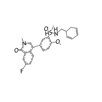 COc1ccc(-c2cn(C)c(=O)c3cc(F)ccc23)cc1[SH](C)(=O)NCC1C=CC=CC1